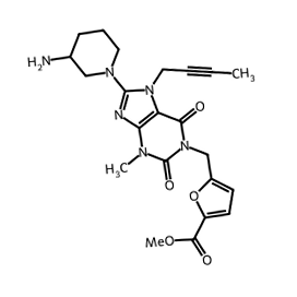 CC#CCn1c(N2CCCC(N)C2)nc2c1c(=O)n(Cc1ccc(C(=O)OC)o1)c(=O)n2C